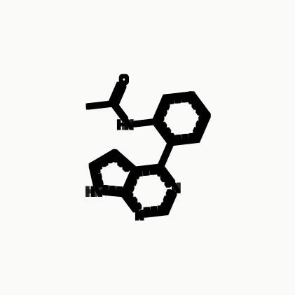 CC(=O)Nc1ccccc1-c1ncnc2[nH]ccc12